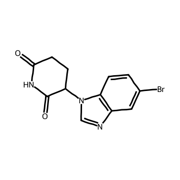 O=C1CCC(n2cnc3cc(Br)ccc32)C(=O)N1